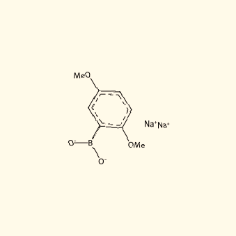 COc1ccc(OC)c(B([O-])[O-])c1.[Na+].[Na+]